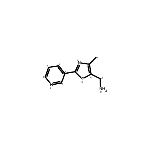 Cc1nc(-c2cccnc2)sc1CN